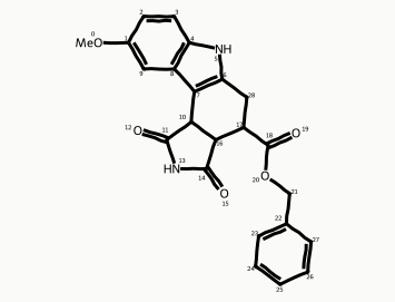 COc1ccc2[nH]c3c(c2c1)C1C(=O)NC(=O)C1C(C(=O)OCc1ccccc1)C3